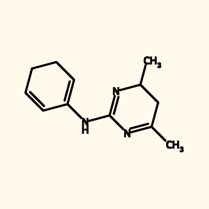 CC1=NC(NC2=CCCC=C2)=NC(C)C1